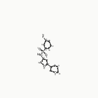 O=S(=O)(Nc1cc(-c2ccccc2)on1)c1cccc(F)c1